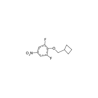 O=[N+]([O-])c1cc(F)c(OCC2CCC2)c(F)c1